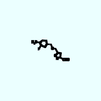 Bc1ccc(COCc2cc(C=O)no2)cc1F